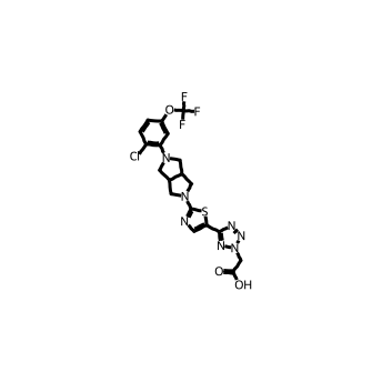 O=C(O)Cn1nnc(-c2cnc(N3CC4CN(c5cc(OC(F)(F)F)ccc5Cl)CC4C3)s2)n1